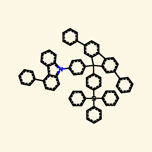 c1ccc(-c2ccc3c(c2)C(c2ccc(-n4c5ccccc5c5c(-c6ccccc6)cccc54)cc2)(c2ccc([Si](c4ccccc4)(c4ccccc4)c4ccccc4)cc2)c2cc(-c4ccccc4)ccc2-3)cc1